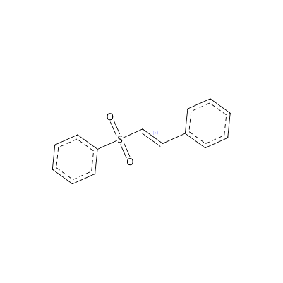 O=S(=O)(/C=C/c1ccccc1)c1ccccc1